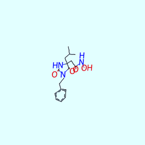 CC(C)CC1(CC(=O)NO)NC(=O)N(CCc2ccccc2)C1=O